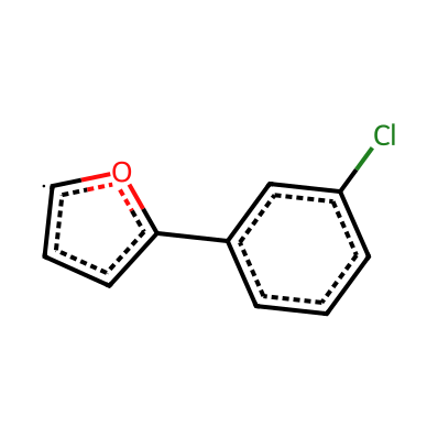 Clc1cccc(-c2cc[c]o2)c1